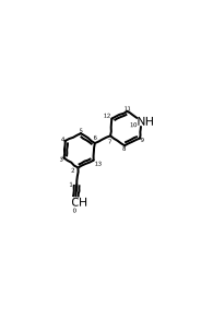 C#Cc1cccc(C2C=CNC=C2)c1